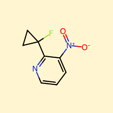 O=[N+]([O-])c1cccnc1C1(F)CC1